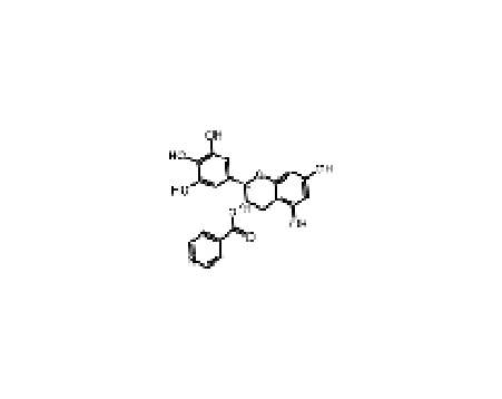 O=C(O[C@H]1Cc2c(O)cc(O)cc2O[C@@H]1c1cc(O)c(O)c(O)c1)c1ccncc1